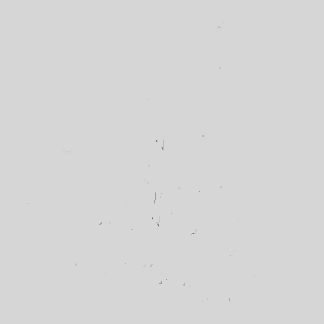 c1ccc(-c2cc3c4c(c2)c2cc(-c5ccccc5)cc5c6c7ccccc7c7c(c6n4c25)B3n2c3cc4ccccc4cc3c3cccc-7c32)cc1